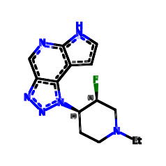 CCN1CC[C@@H](n2nnc3cnc4[nH]ccc4c32)[C@@H](F)C1